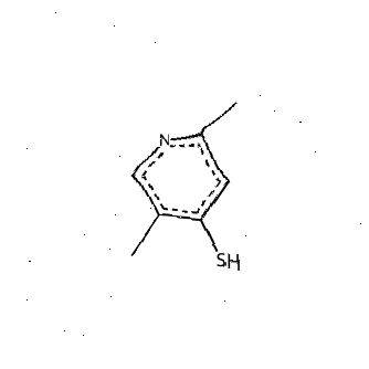 Cc1cc(S)c(C)cn1